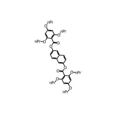 CCCOc1cc(OCCC)c(C(=O)Oc2ccc3cc(OC(=O)c4c(OCCC)cc(OCCC)cc4OCCC)ccc3c2)c(OCCC)c1